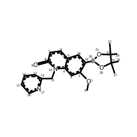 COc1cc2c(ccc(=O)n2Cc2ccccn2)cc1B1OC(C)(C)C(C)(C)O1